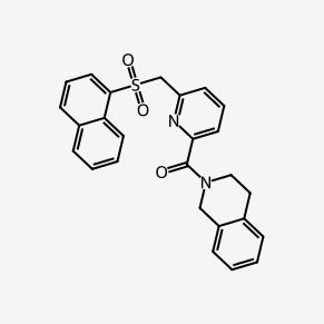 O=C(c1cccc(CS(=O)(=O)c2cccc3ccccc23)n1)N1CCc2ccccc2C1